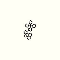 c1ccc(C2(c3ccccc3)c3ccccc3-c3ccc(-c4cccc5c4-c4cccc6cccc(c46)O5)cc32)cc1